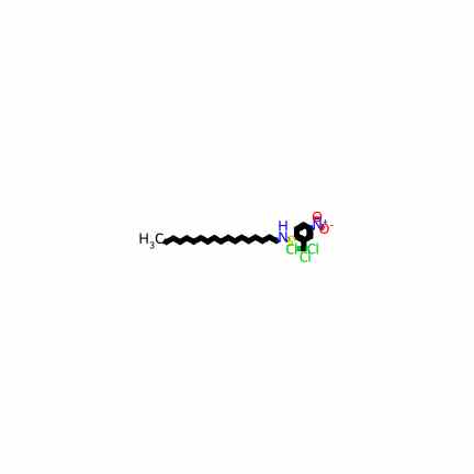 CCCCCCCCCCCCCCCCCCNSc1ccc([N+](=O)[O-])cc1C(Cl)(Cl)Cl